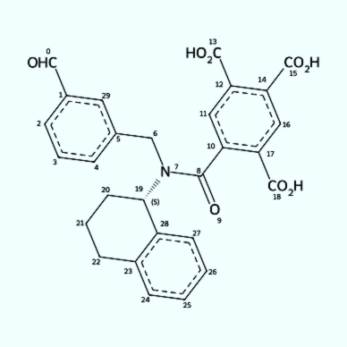 O=Cc1cccc(CN(C(=O)c2cc(C(=O)O)c(C(=O)O)cc2C(=O)O)[C@H]2CCCc3ccccc32)c1